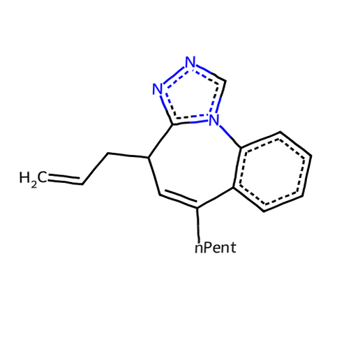 C=CCC1C=C(CCCCC)c2ccccc2-n2cnnc21